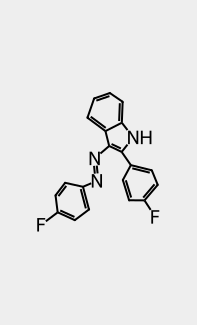 Fc1ccc(/N=N/c2c(-c3ccc(F)cc3)[nH]c3ccccc23)cc1